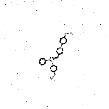 COc1ccc(-c2ccc(/N=C3\CC(c4ccccc4)N3c3ccc(OC)cc3)cc2)cc1